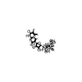 Cc1c(F)c(=O)[nH]c2nc(=S)c([C@@H]3O[C@H](COP(=O)(O)OP(=O)(O)OP(=O)(O)O)C(O)[C@@H]3O)cn12